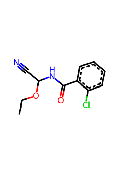 CCOC(C#N)NC(=O)c1ccccc1Cl